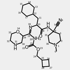 CN1CCC(C#N)(NC(=O)C(CC2CCCCC2)N=C(NC(=O)OCC2CCC2)C2CNCCO2)CC1